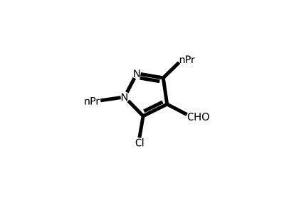 CCCc1nn(CCC)c(Cl)c1C=O